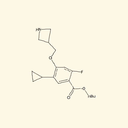 CCCCOC(=O)c1cc(C2CC2)c(OCC2CNC2)cc1F